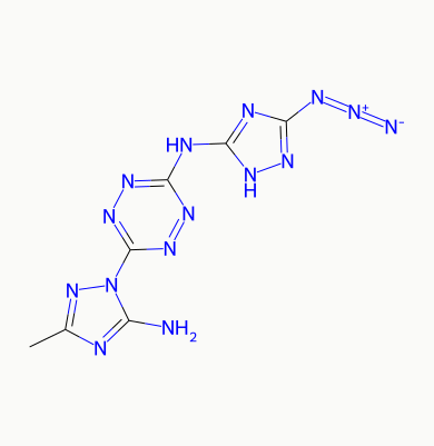 Cc1nc(N)n(-c2nnc(Nc3nc(N=[N+]=[N-])n[nH]3)nn2)n1